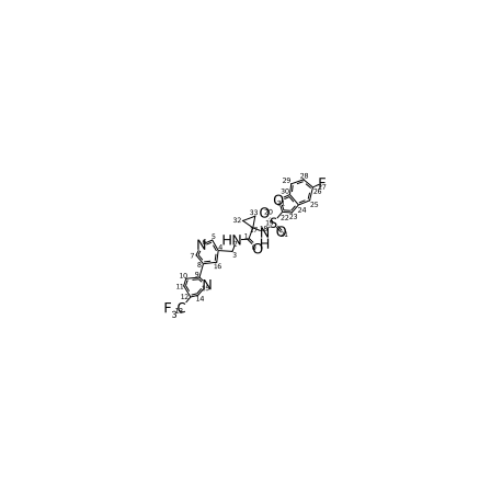 O=C(NCc1cncc(-c2ccc(C(F)(F)F)cn2)c1)C1(NS(=O)(=O)c2cc3cc(F)ccc3o2)CC1